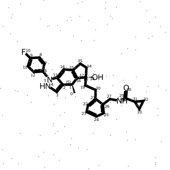 C[C@H]1C2=CNN(c3ccc(F)cc3)C2=CC2=C1[C@](O)(CCc1ccccc1CNC(=O)C1CC1)CC2